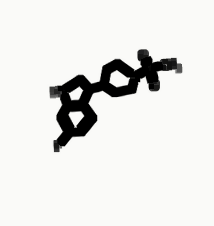 CS(=O)(=O)N1CCC(C2CNc3cc(F)ccc32)CC1